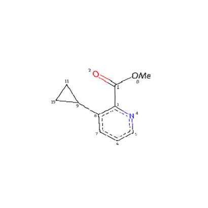 COC(=O)c1ncccc1C1CC1